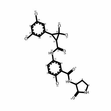 O=C(NC1CCNC1=O)c1cc(NC(=O)C2C(c3cc(Cl)cc(Cl)c3)C2(Cl)Cl)ccc1Cl